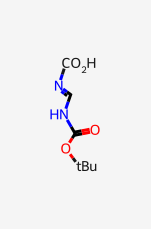 CC(C)(C)OC(=O)NC=NC(=O)O